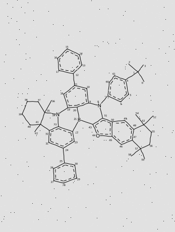 CC(C)(C)c1ccc(N2c3cc(-c4ccccc4)cc4c3B(c3cc(-c5ccccc5)cc5c3N4C3(C)CCCCC53C)c3oc4cc5c(cc4c32)C(C)(C)CCC5(C)C)cc1